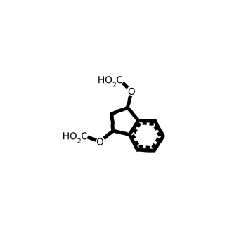 O=C(O)OC1CC(OC(=O)O)c2ccccc21